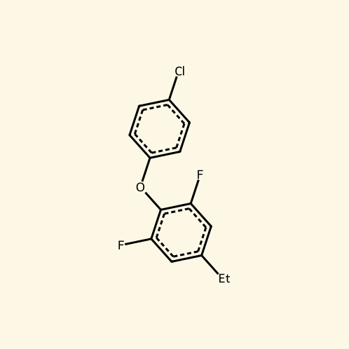 CCc1cc(F)c(Oc2ccc(Cl)cc2)c(F)c1